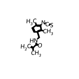 C=C(C)C(=O)NCc1ccc(C)c(N=C=S)c1C